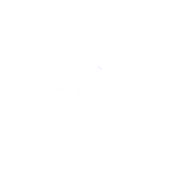 C=C(C)C(=O)ON.c1ccccc1